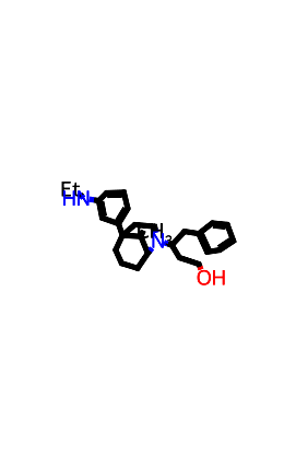 CCNc1cccc(C23CCCC(C2C)N(C(CCO)Cc2ccccc2)CC3)c1